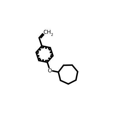 C=Cc1ccc(OC2CCCCCC2)cc1